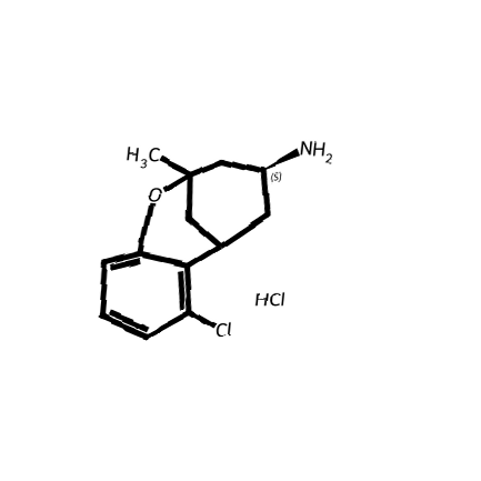 CC12CC(C[C@H](N)C1)c1c(Cl)cccc1O2.Cl